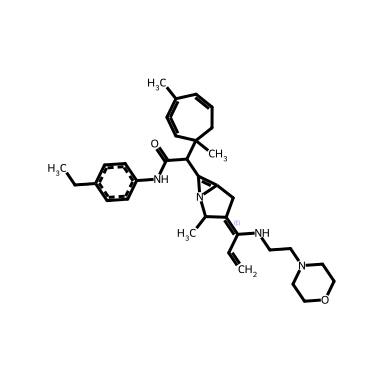 C=C/C(NCCN1CCOCC1)=C1/CC2=C(C(C(=O)Nc3ccc(CC)cc3)C3(C)C=C=C(C)C=CC3)N2C1C